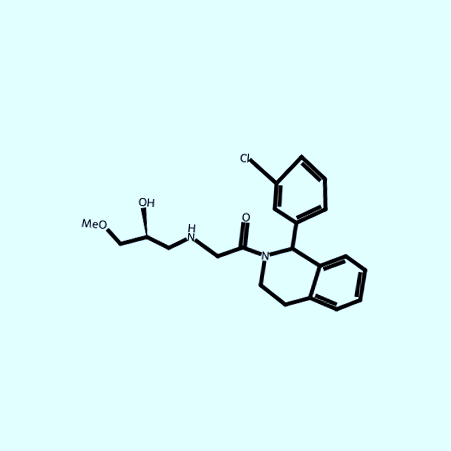 COC[C@@H](O)CNCC(=O)N1CCc2ccccc2C1c1cccc(Cl)c1